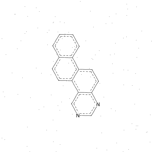 c1ccc2c(c1)ccc1c3cncnc3ccc21